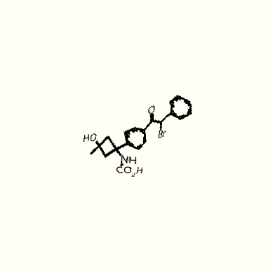 CC1(O)CC(NC(=O)O)(c2ccc(C(=O)C(Br)c3ccccc3)cc2)C1